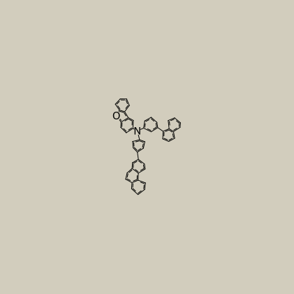 c1cc(-c2cccc3ccccc23)cc(N(c2ccc(-c3ccc4c(ccc5ccccc54)c3)cc2)c2ccc3oc4ccccc4c3c2)c1